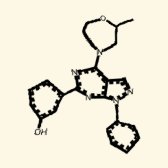 CC1CN(c2nc(-c3cccc(O)c3)nc3c2cnn3-c2ccccc2)CCO1